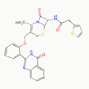 O=C(Cc1cccs1)NC1C(=O)N2C(C(=O)O)=C(COc3ccccc3-c3nc4ccccc4c(=O)[nH]3)CSC12